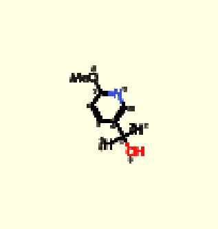 [2H]C([2H])(O)c1ccc(OC)nc1